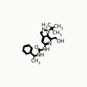 C[C@@H](NC(=O)Nc1cc2cnn(C(C)(C)C)c2c(CO)n1)c1ccccc1